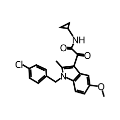 COc1ccc2c(c1)c(C(=O)C(=O)NC1CC1)c(C)n2Cc1ccc(Cl)cc1